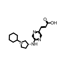 O=C(O)C=Cc1cnc(N[C@@H]2CCN(C3CCCCC3)C2)cn1